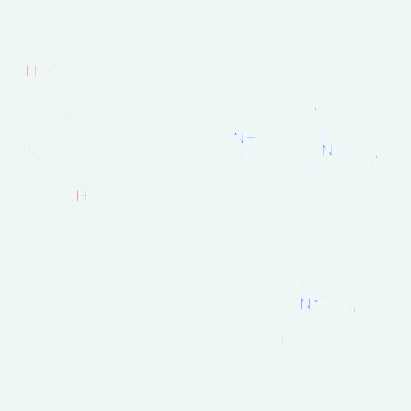 O=C(O)c1ccc(Nc2ccc([N+](=O)[O-])cc2[N+](=O)[O-])cc1O